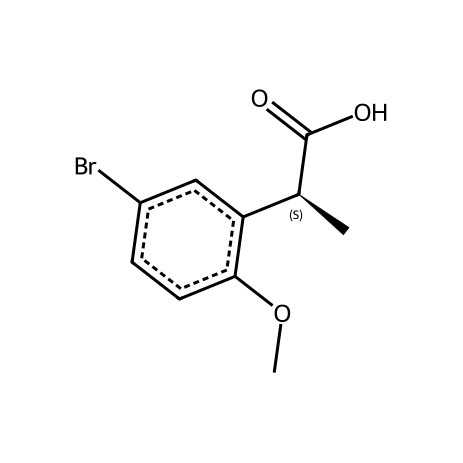 COc1ccc(Br)cc1[C@H](C)C(=O)O